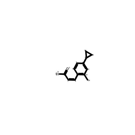 CCC(=O)/C=C\c1ccc(C2CC2)cc1C